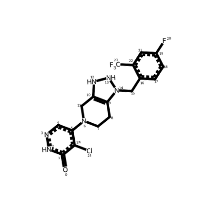 O=c1[nH]ncc(N2CCC3=C(C2)NNN3Cc2ccc(F)cc2C(F)(F)F)c1Cl